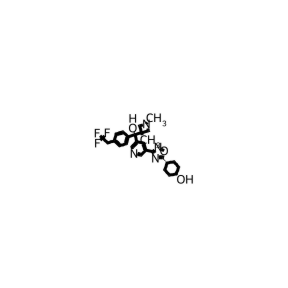 CN1CC(C)([C@](O)(c2ccc(CC(F)(F)F)cc2)c2cncc(-c3noc([C@H]4CC[C@H](O)CC4)n3)c2)C1